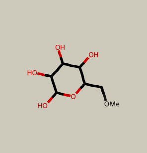 COCC1OC(O)C(O)C(O)C1O